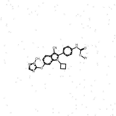 CC(C)OC(=O)Nc1ccc(-c2c(C#N)c3ccc(Oc4ncnn4C)cc3n2C2CCC2)cc1